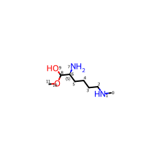 CNCCCC[C@H](N)C(O)OC